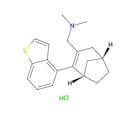 CN(C)CC1=C(c2cccc3sccc23)[C@H]2CC[C@@H](C1)C2.Cl